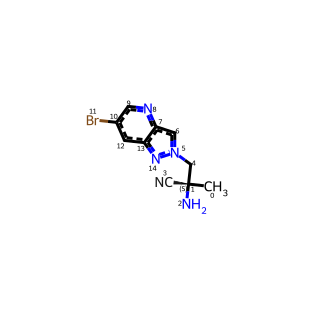 C[C@@](N)(C#N)Cn1cc2ncc(Br)cc2n1